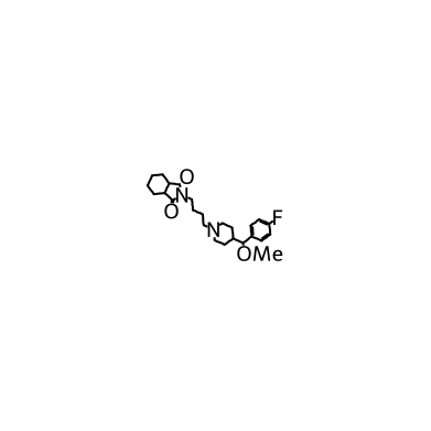 COC(c1ccc(F)cc1)C1CCN(CCCCN2C(=O)C3CCCCC3C2=O)CC1